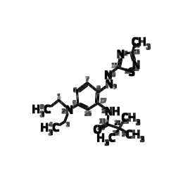 CCN(CC)c1ccc(/N=N/c2nc(C)ns2)c(NC(=O)C(C)(C)C)c1